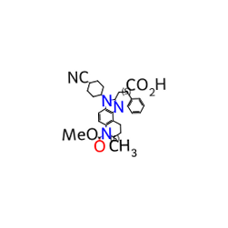 COC(=O)N1c2ccc3c(nc(C[C@H](C(=O)O)c4ccccc4)n3C3CCC(C#N)CC3)c2CC[C@@H]1C